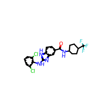 O=C(NC1CCC(C(F)(F)F)CC1)c1ccc2[nH]c(Nc3c(Cl)cccc3Cl)nc2c1